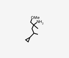 COCC(C)(N)CC(C)C1CC1